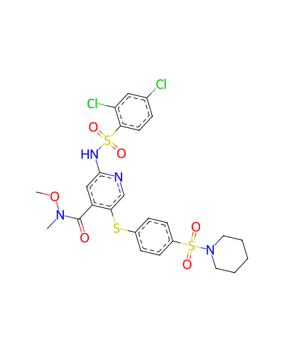 CON(C)C(=O)c1cc(NS(=O)(=O)c2ccc(Cl)cc2Cl)ncc1Sc1ccc(S(=O)(=O)N2CCCCC2)cc1